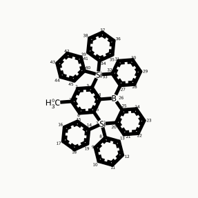 Cc1cc2c3c(c1)[Si](c1ccccc1)(c1ccccc1)c1ccccc1B3c1ccccc1[Si]2(c1ccccc1)c1ccccc1